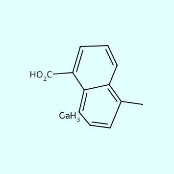 Cc1cccc2c(C(=O)O)cccc12.[GaH3]